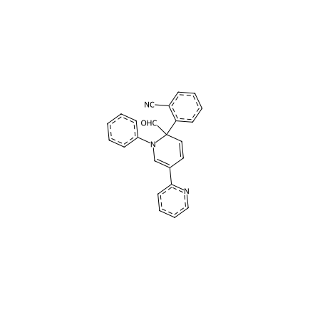 N#Cc1ccccc1C1(C=O)C=CC(c2ccccn2)=CN1c1ccccc1